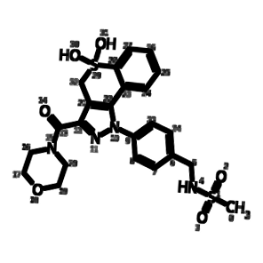 CS(=O)(=O)NCc1ccc(-n2nc(C(=O)N3CCOCC3)c3c2-c2ccccc2S(O)(O)C3)cc1